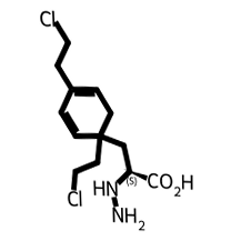 NN[C@@H](CC1(CCCl)C=CC(CCCl)=CC1)C(=O)O